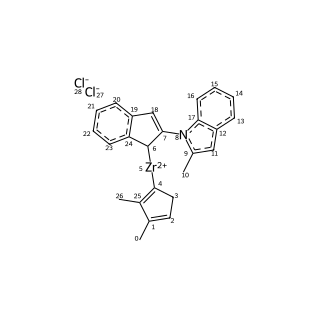 CC1=CC[C]([Zr+2][CH]2C(n3c(C)cc4ccccc43)=Cc3ccccc32)=C1C.[Cl-].[Cl-]